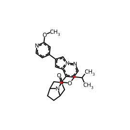 COc1cc(-c2cc3c(N4CC5CCC(C4)N5C(=O)OCC(C)C)ccnn3c2)ccn1